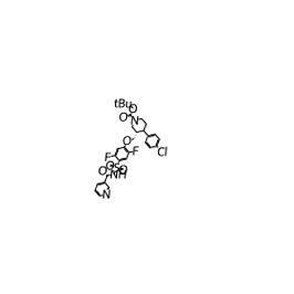 CC(C)(C)OC(=O)N1CCC(c2ccc(Cl)cc2)[C@H](COc2cc(F)c(S(=O)(=O)NC(=O)c3cccnc3)cc2F)C1